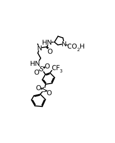 CN(CCNS(=O)(=O)c1cc(S(=O)(=O)c2ccccc2)ccc1C(F)(F)F)C(=O)N[C@H]1CCN(C(=O)O)C1